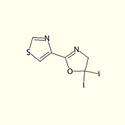 IC1(I)CN=C(c2cscn2)O1